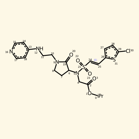 CC(C)OC(=O)CN(C1CCN(CCNc2ccncc2)C1=O)S(=O)(=O)/C=C/c1ccc(Cl)s1